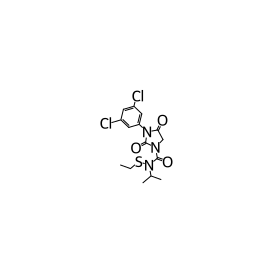 CCSN(C(=O)N1CC(=O)N(c2cc(Cl)cc(Cl)c2)C1=O)C(C)C